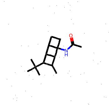 CC(=O)NC12CC3C1C1C2C(C)C31C(C)(C)C